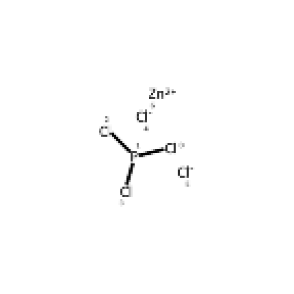 ClP(Cl)Cl.[Cl-].[Cl-].[Zn+2]